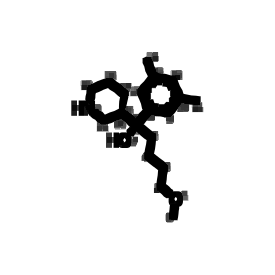 COCCCC[C@@](O)(c1cc(C)cc(C)c1)[C@@H]1CCCNC1